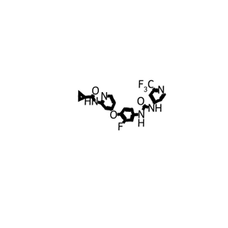 O=C(Nc1ccnc(C(F)(F)F)c1)Nc1ccc(Oc2ccnc(NC(=O)C3CC3)c2)c(F)c1